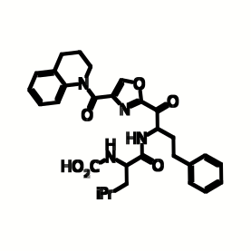 CC(C)CC(NC(=O)O)C(=O)NC(CCc1ccccc1)C(=O)c1nc(C(=O)N2CCCc3ccccc32)co1